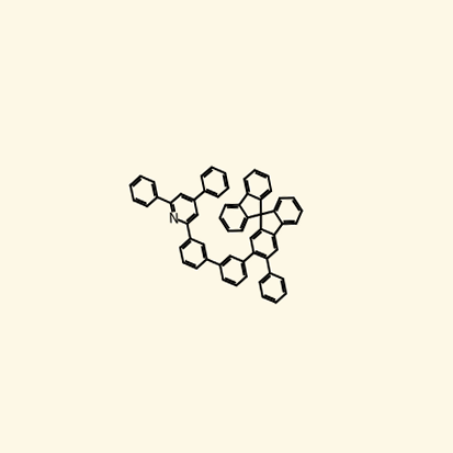 c1ccc(-c2cc(-c3ccccc3)nc(-c3cccc(-c4cccc(-c5cc6c(cc5-c5ccccc5)-c5ccccc5C65c6ccccc6-c6ccccc65)c4)c3)c2)cc1